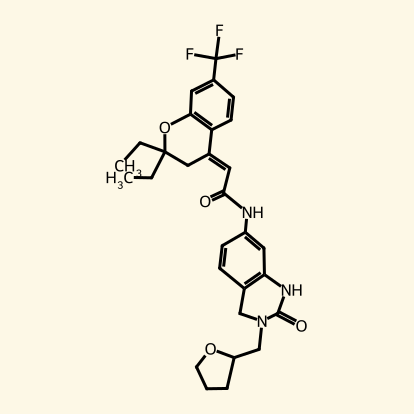 CCC1(CC)C/C(=C\C(=O)Nc2ccc3c(c2)NC(=O)N(CC2CCCO2)C3)c2ccc(C(F)(F)F)cc2O1